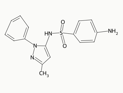 Cc1cc(NS(=O)(=O)c2ccc(N)cc2)n(-c2ccccc2)n1